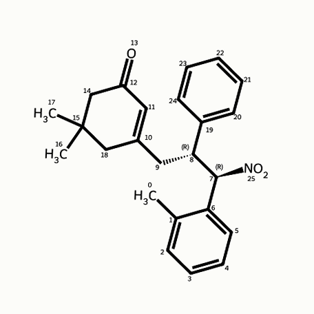 Cc1ccccc1[C@@H]([C@H](CC1=CC(=O)CC(C)(C)C1)c1ccccc1)[N+](=O)[O-]